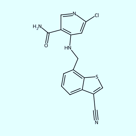 N#Cc1csc2c(CNc3cc(Cl)ncc3C(N)=O)cccc12